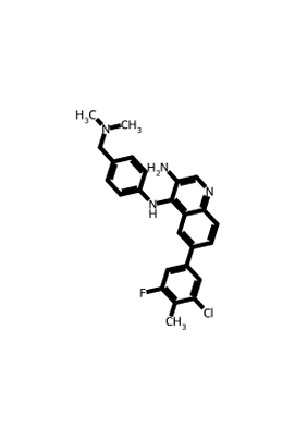 Cc1c(F)cc(-c2ccc3ncc(N)c(Nc4ccc(CN(C)C)cc4)c3c2)cc1Cl